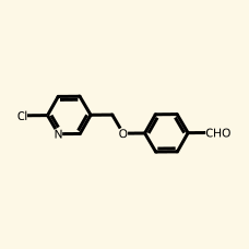 O=Cc1ccc(OCc2ccc(Cl)nc2)cc1